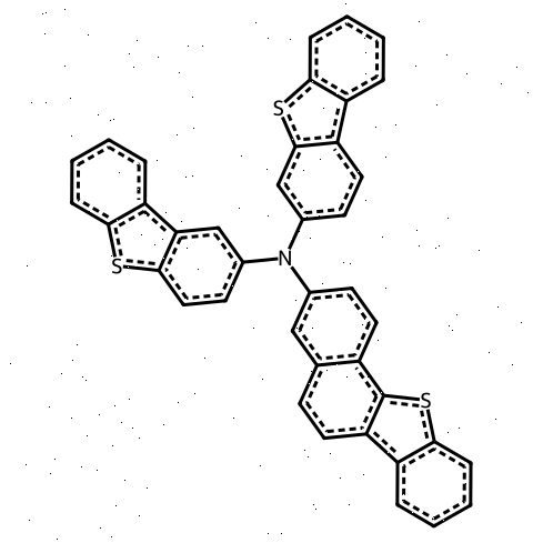 c1ccc2c(c1)sc1cc(N(c3ccc4c(ccc5c6ccccc6sc45)c3)c3ccc4sc5ccccc5c4c3)ccc12